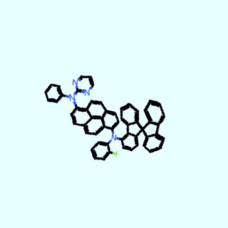 Fc1ccccc1N(c1cccc2c1-c1ccccc1C21c2ccccc2-c2ccccc21)c1ccc2ccc3c(N(c4ccccc4)c4ncccn4)ccc4ccc1c2c43